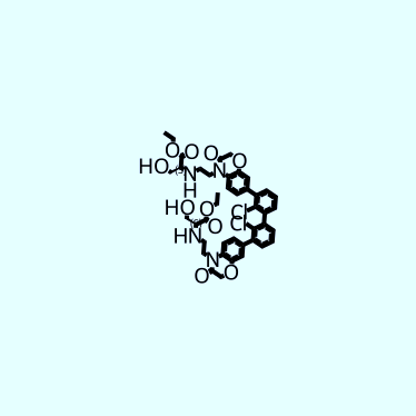 CCOC(=O)[C@H](CO)NCCN1C(=O)COc2cc(-c3cccc(-c4cccc(-c5ccc6c(c5)OCC(=O)N6CCN[C@@H](CO)C(=O)OCC)c4Cl)c3Cl)ccc21